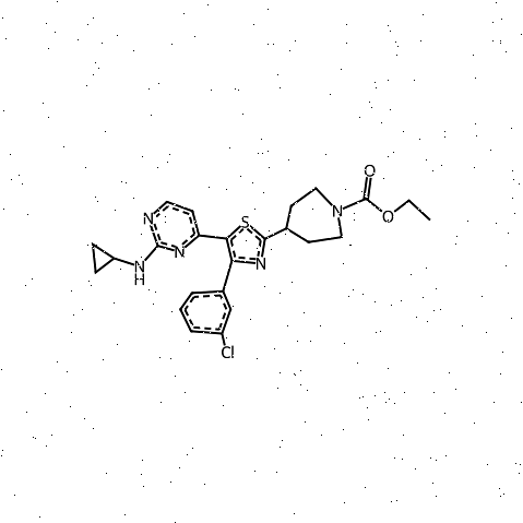 CCOC(=O)N1CCC(c2nc(-c3cccc(Cl)c3)c(-c3ccnc(NC4CC4)n3)s2)CC1